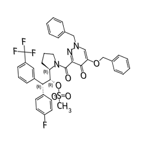 CS(=O)(=O)O[C@H]([C@H](c1ccc(F)cc1)c1cccc(C(F)(F)F)c1)[C@H]1CCCN1C(=O)c1nn(Cc2ccccc2)cc(OCc2ccccc2)c1=O